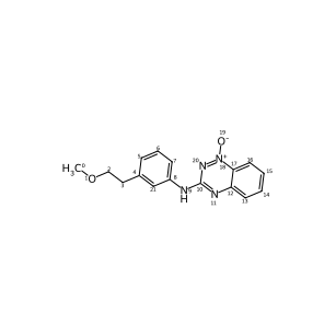 COCCc1cccc(Nc2nc3ccccc3[n+]([O-])n2)c1